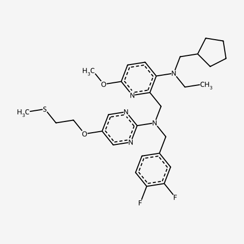 CCN(CC1CCCC1)c1ccc(OC)nc1CN(Cc1ccc(F)c(F)c1)c1ncc(OCCSC)cn1